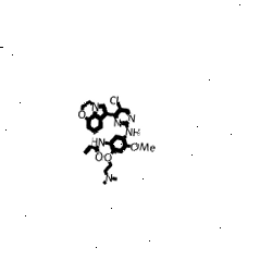 C=CC(=O)Nc1cc(Nc2ncc(Cl)c(-c3cn4c5c(cccc35)OCC4)n2)c(OC)cc1OCCN(C)C